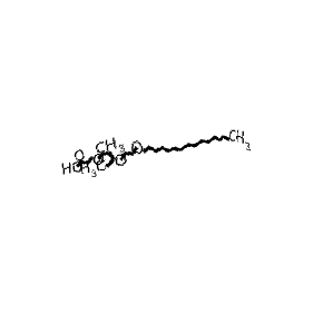 CCCCCCCCCCCCCCCCOCCOC(CC)CC(C)OCCC(=O)O